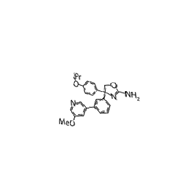 COc1cncc(-c2cccc([C@@]3(c4ccc(OC(C)C)cc4)COC(N)=N3)c2)c1